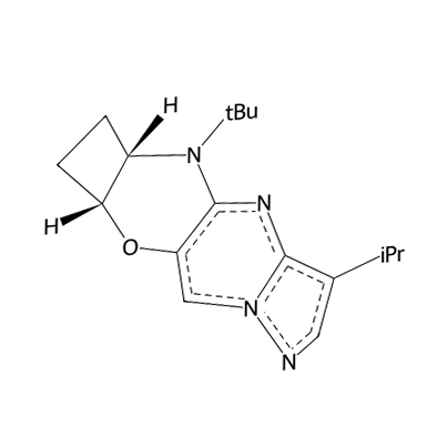 CC(C)c1cnn2cc3c(nc12)N(C(C)(C)C)[C@H]1CC[C@H]1O3